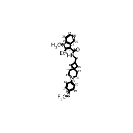 CCc1c(C(=O)NCC2CC3(CCN(c4ccc(OC(F)(F)F)cc4)CC3)C2)c2cnccc2n1C